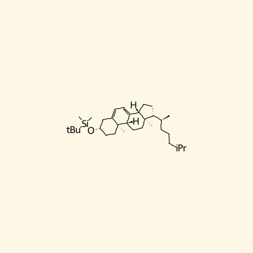 CC(C)CCC[C@H](C)[C@H]1CC[C@H]2C3=CC=C4C[C@@H](O[Si](C)(C)C(C)(C)C)CC[C@]4(C)[C@H]3CC[C@]12C